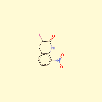 O=C1Nc2c(cccc2[N+](=O)[O-])CC1I